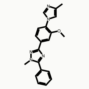 COc1cc(-c2nc(-c3ccccc3)n(C)n2)ccc1-n1cnc(C)c1